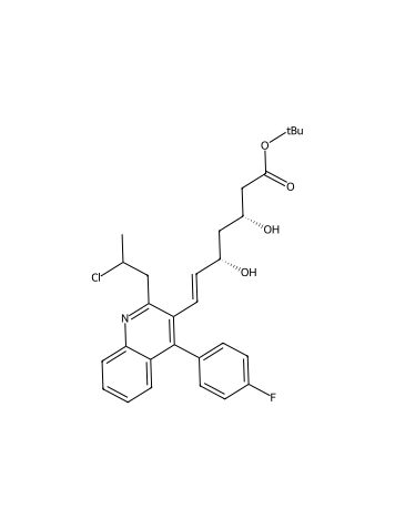 CC(Cl)Cc1nc2ccccc2c(-c2ccc(F)cc2)c1C=C[C@@H](O)C[C@@H](O)CC(=O)OC(C)(C)C